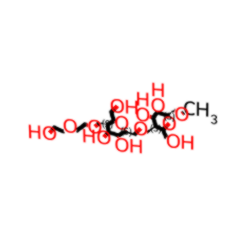 COC[C@@H]1OC(CO)[C@@H](COC[C@@H]2OC(CO)[C@@H](COCCOCCO)C(O)C2O)C(O)C1O